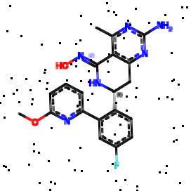 COc1cccc(-c2cc(F)ccc2[C@H]2Cc3nc(N)nc(C)c3/C(=N/O)N2)n1